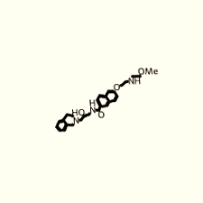 COCCNCCOc1ccc2cc(C(=O)NC[C@H](O)CN3CCc4ccccc4C3)ccc2c1